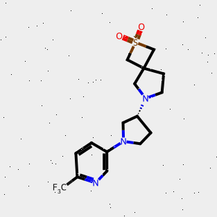 O=S1(=O)CC2(CCN([C@@H]3CCN(c4ccc(C(F)(F)F)nc4)C3)C2)C1